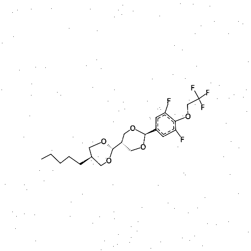 CCCCC[C@H]1CO[C@H]([C@H]2CO[C@H](c3cc(F)c(OCC(F)(F)F)c(F)c3)OC2)OC1